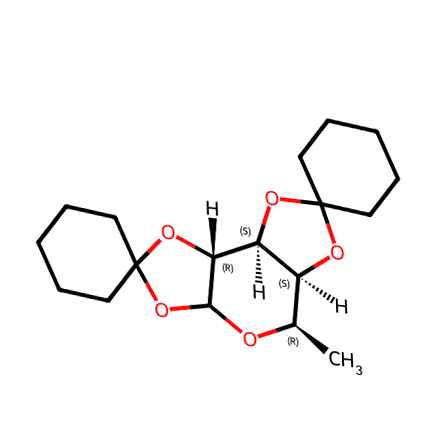 C[C@H]1OC2OC3(CCCCC3)O[C@@H]2[C@H]2OC3(CCCCC3)O[C@H]21